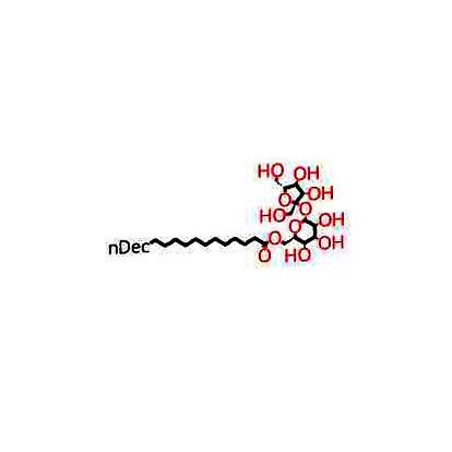 CCCCCCCCCCCCCCCCCCCCCC(=O)OC[C@H]1O[C@H](O[C@]2(CO)O[C@H](CO)[C@@H](O)[C@@H]2O)[C@H](O)[C@@H](O)[C@@H]1O